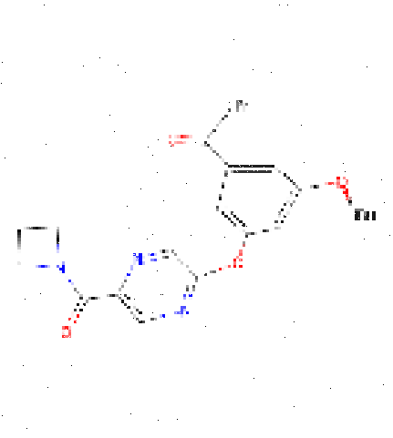 CC[C@H](C)Oc1cc(Oc2cnc(C(=O)N3CCC3)cn2)cc(C(=O)C(C)C)c1